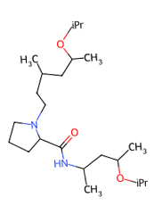 CC(CCN1CCCC1C(=O)NC(C)CC(C)OC(C)C)CC(C)OC(C)C